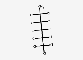 [CH2]C(Cl)(Cl)C(Cl)(Cl)C(Cl)(Cl)C(Cl)(Cl)C(Cl)(Cl)Cl